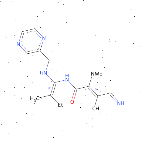 CC/C(C)=C(/NCc1cnccn1)NC(=O)/C(NC)=C(\C)C=N